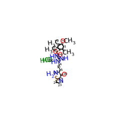 COc1cc(C)c(S(=O)(=O)NC(=N)NCCC[C@H](N)C(=O)c2nccs2)c(C)c1C.Cl.Cl